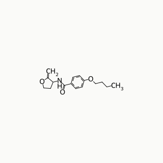 C=C1OCCC1NC(=O)c1ccc(OCCCC)cc1